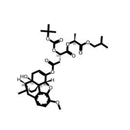 COc1ccc2c3c1O[C@H]1C(OC(=O)C[C@H](OC(=O)OC(C)(C)C)C(=O)O[C@@H](C)C(=O)OCC(C)C)=CC[C@@]4(O)[C@@H](C2)N(C)CC[C@]314